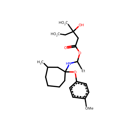 CCC(NC1(Oc2ccc(OC)cc2)CCCCC(C)C1)OC(=O)CC(O)(CC(=O)O)C(=O)O